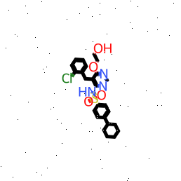 O=S(=O)(Nc1ncnc(OCCO)c1Cc1ccccc1Cl)c1ccc(C2CCCCC2)cc1